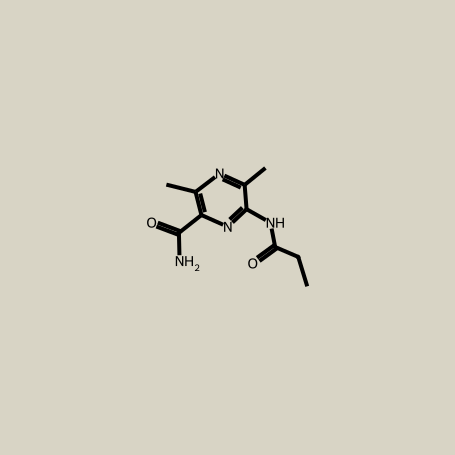 CCC(=O)Nc1nc(C(N)=O)c(C)nc1C